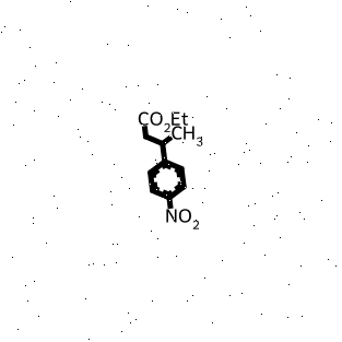 CCOC(=O)CC(C)c1ccc([N+](=O)[O-])cc1